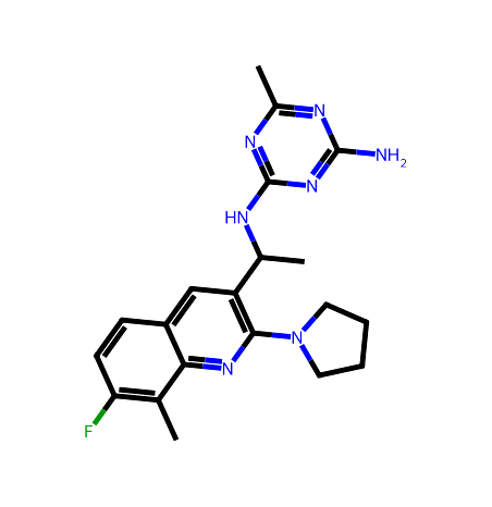 Cc1nc(N)nc(NC(C)c2cc3ccc(F)c(C)c3nc2N2CCCC2)n1